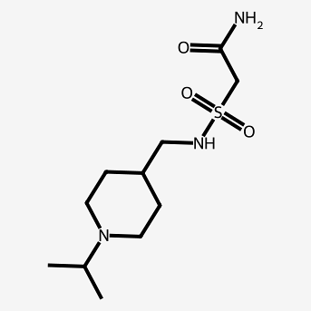 CC(C)N1CCC(CNS(=O)(=O)CC(N)=O)CC1